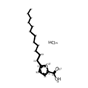 CCCCCCCCCCCCc1ccc(C(=O)O)s1.Cl